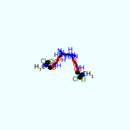 CN1Cc2c(Cl)cc(Cl)cc2[C@H](c2cccc(S(=O)(=O)NCCOCCOCCN/C(=N\C#N)NCCCCN/C(=N/C#N)NCCOCCOCCNS(=O)(=O)c3cccc([C@@H]4CN(C)Cc5c(Cl)cc(Cl)cc54)c3)c2)C1